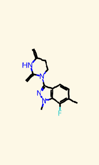 C=C1CCN(c2nn(C)c3c(F)c(C)ccc23)C(=C)N1